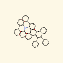 c1ccc(-c2ccccc2N(c2ccccc2-c2ccc3c(c2)c(-c2ccccc2)c(-c2ccccc2)c2ccccc23)c2c(-c3ccccc3)cccc2-c2ccccc2)cc1